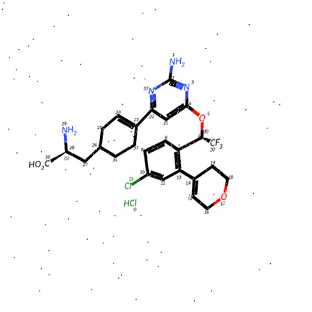 Cl.Nc1nc(O[C@H](c2ccc(Cl)cc2C2=CCOCC2)C(F)(F)F)cc(C2=CCC(C[C@H](N)C(=O)O)CC2)n1